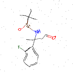 CC(CC=O)(N[S+]([O-])C(C)(C)C)c1ccccc1F